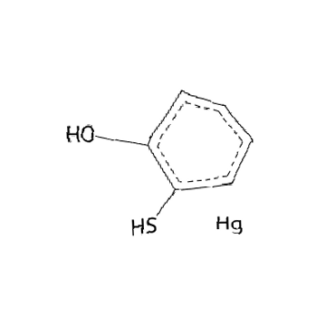 Oc1ccccc1S.[Hg]